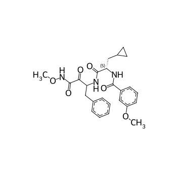 CONC(=O)C(=O)C(Cc1ccccc1)NC(=O)[C@H](CC1CC1)NC(=O)c1cccc(OC)c1